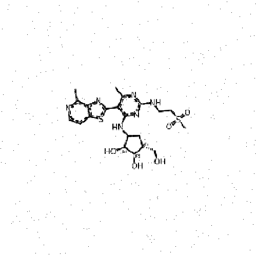 Cc1nc(NCCS(C)(=O)=O)nc(NC2C[C@H](CO)[C@@H](O)[C@H]2O)c1-c1nc2c(C)nccc2s1